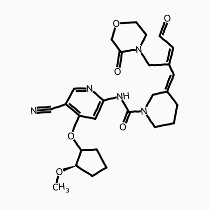 CO[C@@H]1CCCC1Oc1cc(NC(=O)N2CCC/C(=C/C(=C/C=O)CN3CCOCC3=O)C2)ncc1C#N